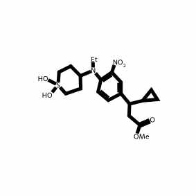 CCN(c1ccc(C(CC(=O)OC)C2CC2)cc1[N+](=O)[O-])C1CCS(O)(O)CC1